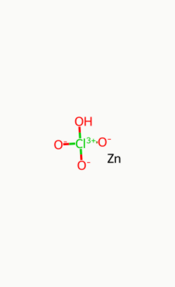 [O-][Cl+3]([O-])([O-])O.[Zn]